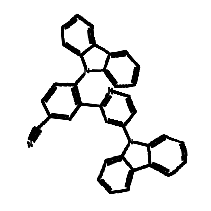 N#Cc1ccc(-n2c3ccccc3c3ccccc32)c(-c2cc(-n3c4ccccc4c4ccccc43)ccn2)c1